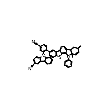 CC1C=CC2(C)C(C1)c1ccc3c(sc4ccc(-c5ccc(C#N)cc5-n5c6ccccc6c6cc(C#N)ccc65)cc43)c1N2c1ccccc1